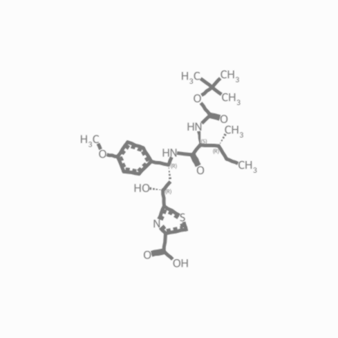 CC[C@@H](C)[C@H](NC(=O)OC(C)(C)C)C(=O)N[C@H](C[C@@H](O)c1nc(C(=O)O)cs1)c1ccc(OC)cc1